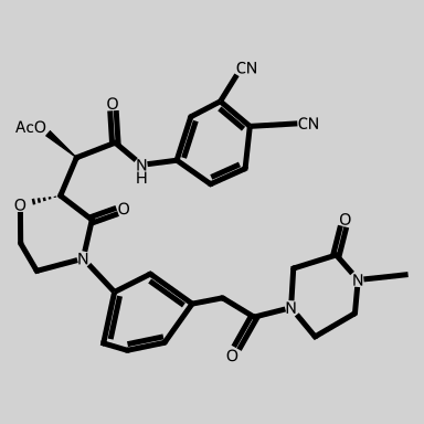 CC(=O)O[C@@H](C(=O)Nc1ccc(C#N)c(C#N)c1)[C@H]1OCCN(c2cccc(CC(=O)N3CCN(C)C(=O)C3)c2)C1=O